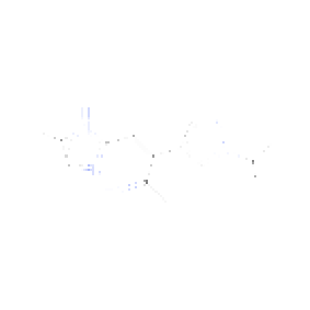 CC(=N)/C(=C\c1ncc(C)[nH]1)c1cnn(C(C)C)c1